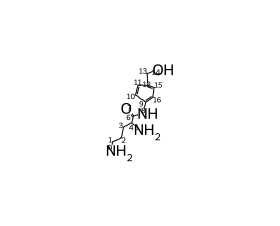 NCCCC(N)C(=O)Nc1ccc(CO)cc1